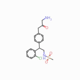 CS(=O)(=O)NCC(c1ccc(CC(=O)CN)cc1)c1ccccc1Cl